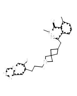 Cc1cccc2c(CC3CC4(C3)CN(CCCc3cc5nncn5cc3F)C4)nn(C)c(=O)c12